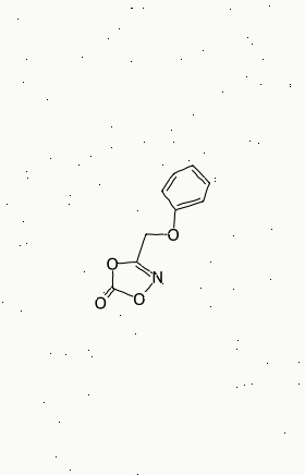 O=c1onc(COc2ccccc2)o1